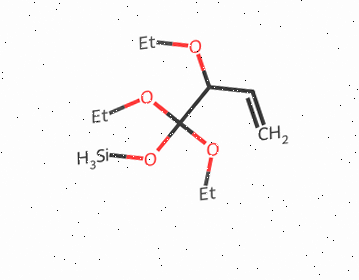 C=CC(OCC)C(O[SiH3])(OCC)OCC